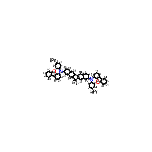 CC(C)c1ccc(N(c2ccc3cc4c(cc3c2)C(C)(C)c2cc3cc(N(c5ccc(C(C)C)cc5)c5cccc6c5oc5ccccc56)ccc3cc2-4)c2cccc3c2oc2ccccc23)cc1